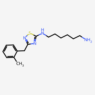 Cc1ccccc1Cc1nsc(NCCCCCCN)n1